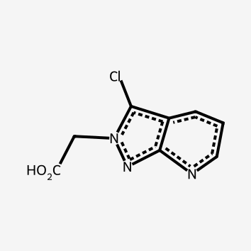 O=C(O)Cn1nc2ncccc2c1Cl